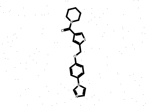 O=C(c1csc(COc2ccc(-n3ccnc3)cc2)c1)N1CCCCC1